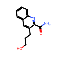 NC(=O)c1nc2ccccc2cc1C[CH]CO